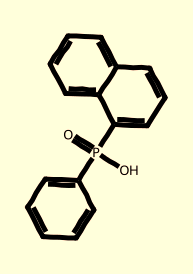 O=P(O)(c1ccccc1)c1cccc2ccccc12